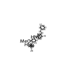 COc1cc(Nc2ncc(C)c(CCc3ccccc3)n2)ccc1-c1nc(C)c[nH]1